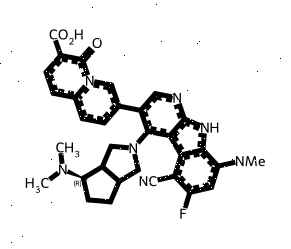 CNc1cc(F)c(C#N)c2c1[nH]c1ncc(-c3ccc4ccc(C(=O)O)c(=O)n4c3)c(N3CC4CC[C@@H](N(C)C)C4C3)c12